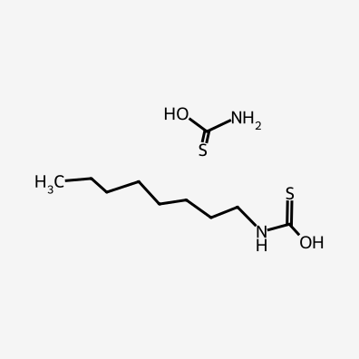 CCCCCCCCNC(O)=S.NC(O)=S